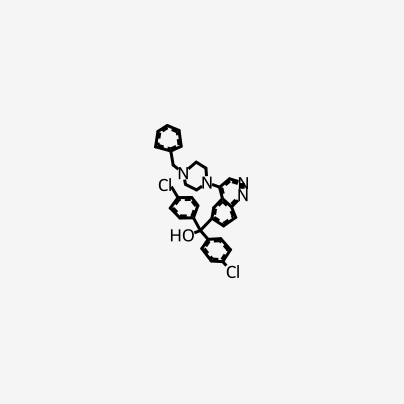 OC(c1ccc(Cl)cc1)(c1ccc(Cl)cc1)c1ccc2nncc(N3CCN(Cc4ccccc4)CC3)c2c1